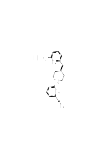 Cc1cccc(C=C2CCN(c3cccc(C#N)n3)CC2)n1